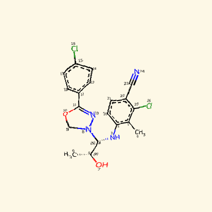 Cc1c(N[C@H]([C@@H](C)O)N2COC(c3ccc(Cl)cc3)=N2)ccc(C#N)c1Cl